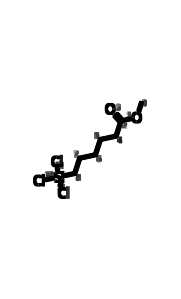 COC(=O)CCCCC[Si](Cl)(Cl)Cl